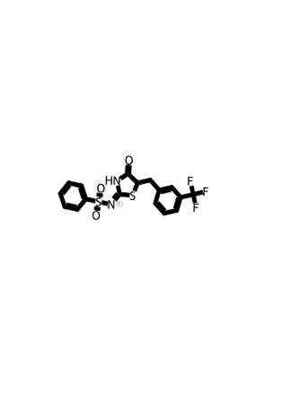 O=C1N/C(=N\S(=O)(=O)c2ccccc2)SC1Cc1cccc(C(F)(F)F)c1